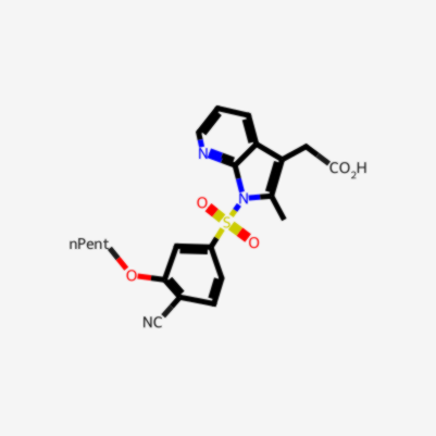 CCCCCOc1cc(S(=O)(=O)n2c(C)c(CC(=O)O)c3cccnc32)ccc1C#N